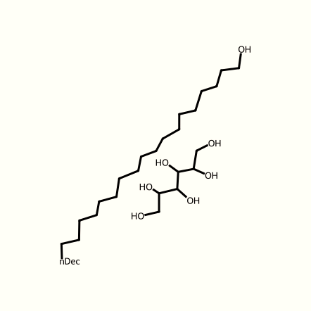 CCCCCCCCCCCCCCCCCCCCCCCCCCCCO.OCC(O)C(O)C(O)C(O)CO